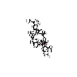 Nc1nc2c(nnn2[C@@]23CS[C@H](COP(=O)(O)O[C@H]4C(c5cnc6c(N)ncnn56)CO[C@@H]4COP(=O)(S)O2)[C@H]3O)c(=O)[nH]1